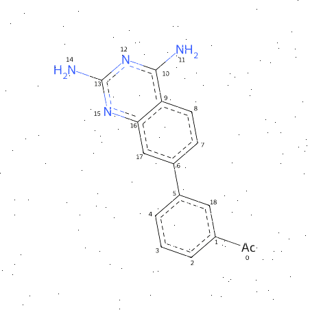 CC(=O)c1cccc(-c2ccc3c(N)nc(N)nc3c2)c1